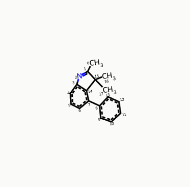 CC1=Nc2cccc(-c3ccccc3)c2C1(C)C